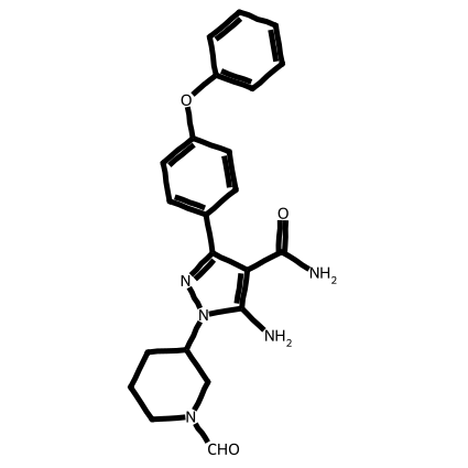 NC(=O)c1c(-c2ccc(Oc3ccccc3)cc2)nn(C2CCCN(C=O)C2)c1N